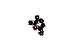 c1ccc(-c2nc(-c3ccccc3)nc(-c3cccc(-c4cccc(-n5c6ccccc6c6cc7c(cc65)CCN7c5ccccc5)c4)c3)n2)cc1